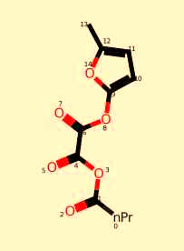 CCCC(=O)OC(=O)C(=O)Oc1ccc(C)o1